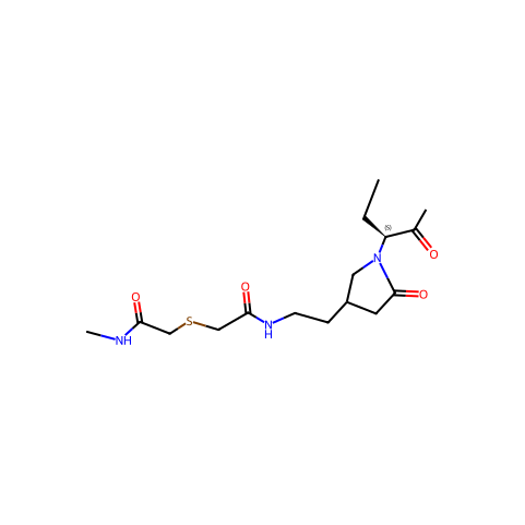 CC[C@@H](C(C)=O)N1CC(CCNC(=O)CSCC(=O)NC)CC1=O